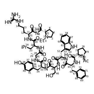 CCN1CCC[C@H]1C(=O)NC(=O)[C@H](CCCNC(=N)N)NC(=O)[C@H](CC(C)C)NC(=O)[C@@H](C)NC(=O)[C@H](Cc1ccc(O)cc1)NC(=O)[C@H](CO)NC(=O)[C@H](Cc1c[nH]c2ccccc12)NC(=O)[C@@H](Cc1ccccc1)NC(=O)[C@@H]1CCCN1C(C)=O